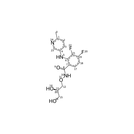 Cc1ccc(Nc2c(C(=O)NOC[C@H](O)CO)ccc(F)c2F)cn1